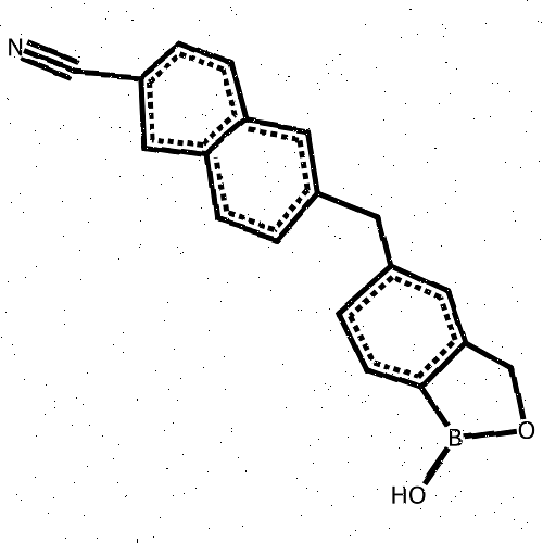 N#Cc1ccc2cc(Cc3ccc4c(c3)COB4O)ccc2c1